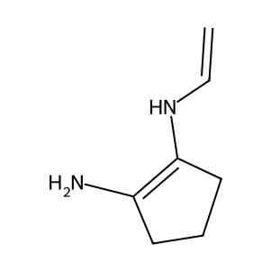 C=CNC1=C(N)CCC1